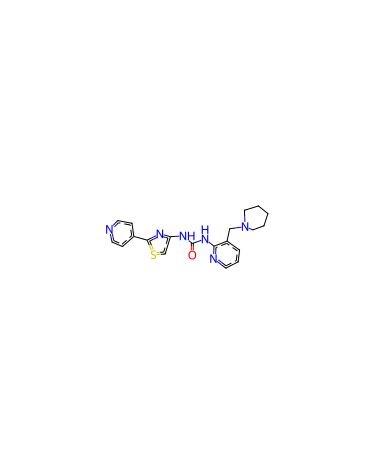 O=C(Nc1csc(-c2ccncc2)n1)Nc1ncccc1CN1CCCCC1